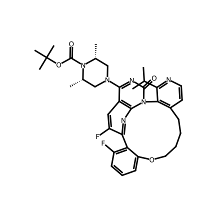 CC(C)c1nccc2c1-n1c(=O)nc(N3C[C@@H](C)N(C(=O)OC(C)(C)C)[C@@H](C)C3)c3cc(F)c(nc31)-c1c(F)cccc1OCCCC2